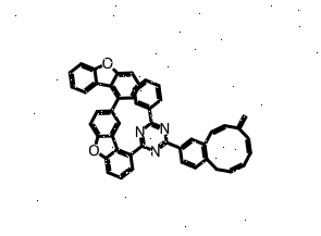 C=C1/C=C\C=C/Cc2ccc(-c3nc(-c4ccccc4)nc(-c4cccc5oc6ccc(-c7cccc8oc9ccccc9c78)cc6c45)n3)cc2/C=C\1